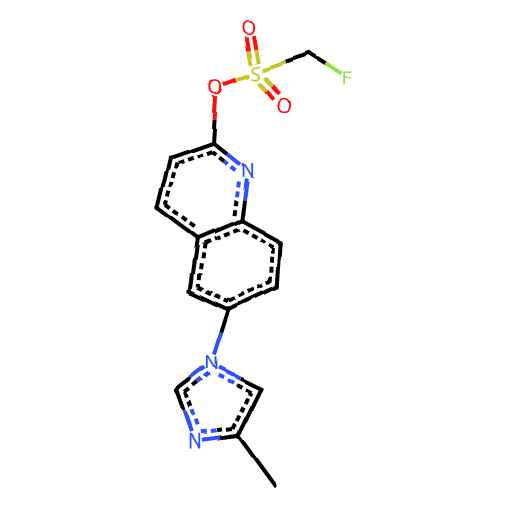 Cc1cn(-c2ccc3nc(OS(=O)(=O)CF)ccc3c2)cn1